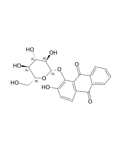 O=C1c2ccccc2C(=O)c2c1ccc(O)c2O[C@@H]1O[C@H](CO)[C@@H](O)[C@H](O)[C@H]1O